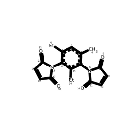 CCc1cc(C)c(N2C(=O)C=CC2=O)c(CC)c1N1C(=O)C=CC1=O